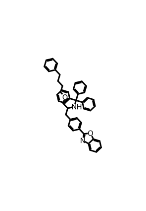 c1ccc(CCCCOCC(Cc2ccc(-c3nc4ccccc4o3)cc2)NC(c2ccccc2)(c2ccccc2)c2ccccc2)cc1